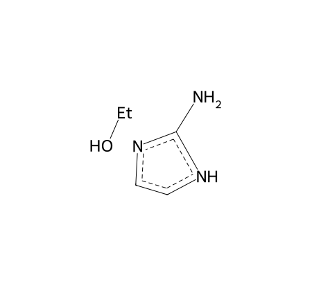 CCO.Nc1ncc[nH]1